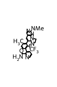 CNc1ncc2c(n1)N1CCN=C1C(c1c(C)ccc(-c3c(C(F)(F)F)ccnc3C(N)=O)c1F)=C2